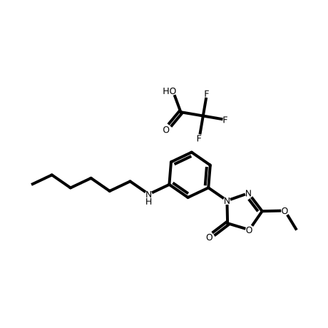 CCCCCCNc1cccc(-n2nc(OC)oc2=O)c1.O=C(O)C(F)(F)F